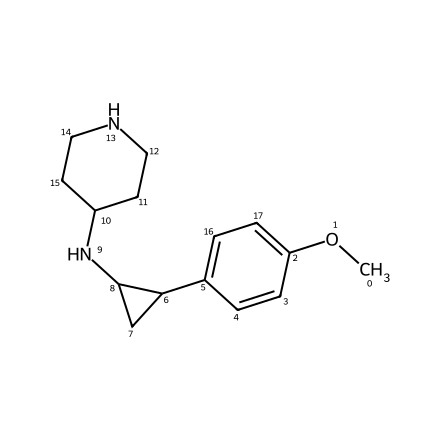 COc1ccc(C2CC2NC2CCNCC2)cc1